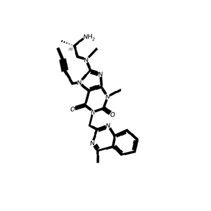 CC#CCn1c(N(C)C[C@H](C)N)nc2c1c(=O)n(Cc1nc(C)c3ccccc3n1)c(=O)n2C